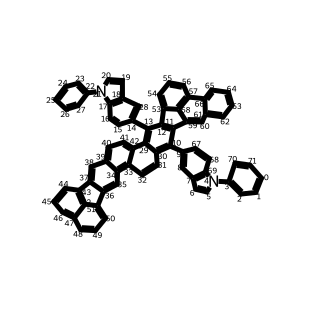 c1ccc(-n2ccc3cc(-c4c5c(c(-c6ccc7c(ccn7-c7ccccc7)c6)c6c4ccc4c7cc8c(cc7ccc46)-c4cccc6cccc-8c46)-c4cccc6c4c-5cc4ccccc46)ccc32)cc1